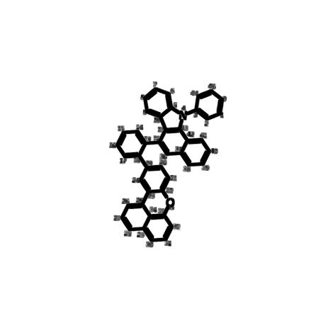 c1ccc(-n2c3ccccc3c3c(-c4ccccc4-c4ccc5c(c4)-c4cccc6cccc(c46)O5)cc4ccccc4c32)cc1